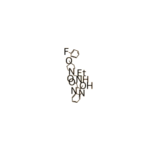 CC[C@H](NC(=O)c1nc2ccccc2nc1O)C(=O)N1CCC(Oc2ccccc2F)CC1